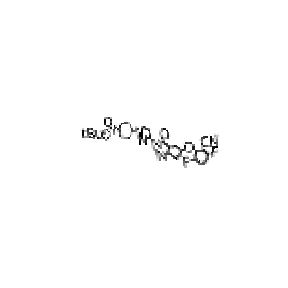 CC(C)(C)OC(=O)N1CCC(n2ccc(-n3cnc4ccc(Oc5c(F)ccc(F)c5C#N)cc4c3=O)n2)CC1